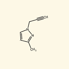 C#CCn1c[c]c(C)n1